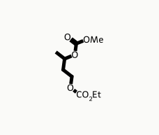 [CH2]COC(=O)OCCC(C)OC(=O)OC